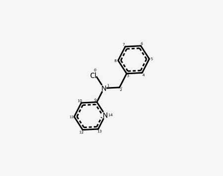 ClN([CH]c1ccccc1)c1ccccn1